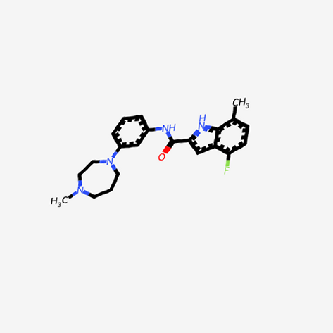 Cc1ccc(F)c2cc(C(=O)Nc3cccc(N4CCCN(C)CC4)c3)[nH]c12